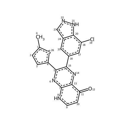 Cc1ccc(-c2nc3[nH]ccc(=O)c3nc2-c2cc(Cl)c3[nH]ncc3c2)s1